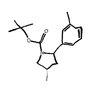 Cc1cccc(C2C[C@H](C)CN2C(=O)OC(C)(C)C)c1